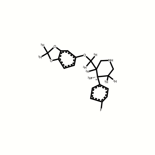 [2H]C1([2H])Oc2ccc(OC([2H])([2H])C3([2H])CNCC([2H])([2H])[C@@]3([2H])c3ccc(F)cc3)cc2O1